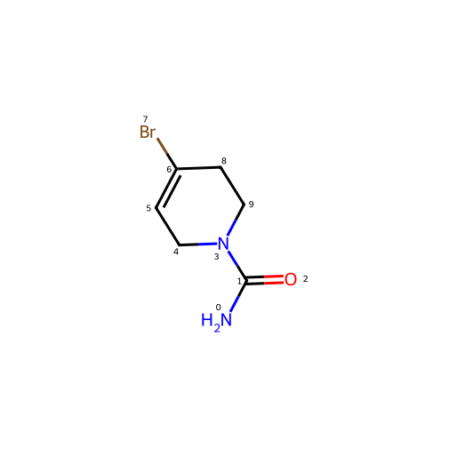 NC(=O)N1CC=C(Br)CC1